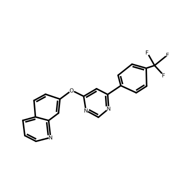 FC(F)(F)c1ccc(-c2cc(Oc3ccc4cccnc4c3)ncn2)cc1